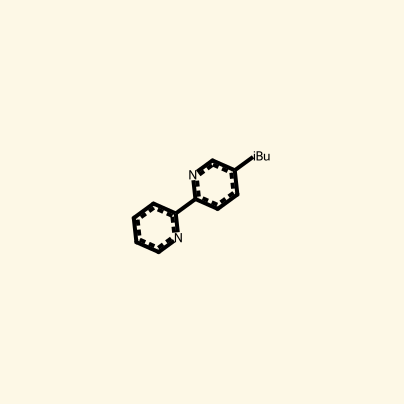 CCC(C)c1ccc(-c2ccccn2)nc1